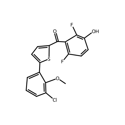 COc1c(Cl)cccc1-c1ccc(C(=O)c2c(F)ccc(O)c2F)s1